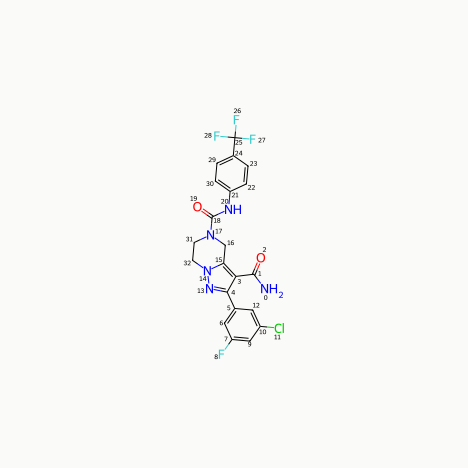 NC(=O)c1c(-c2cc(F)cc(Cl)c2)nn2c1CN(C(=O)Nc1ccc(C(F)(F)F)cc1)CC2